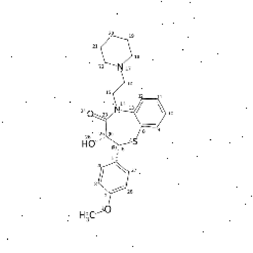 COc1ccc([C@H]2Sc3ccccc3N(CCN3CCCCC3)C(=O)[C@H]2O)cc1